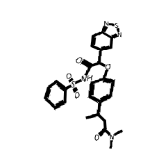 CC(CC(=O)N(C)C)c1ccc(OC(C(=O)NS(=O)(=O)c2ccccc2)c2ccc3nsnc3c2)cc1